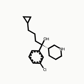 OC(CCCC1CC1)(c1cccc(Cl)c1)[C@H]1CCCNC1